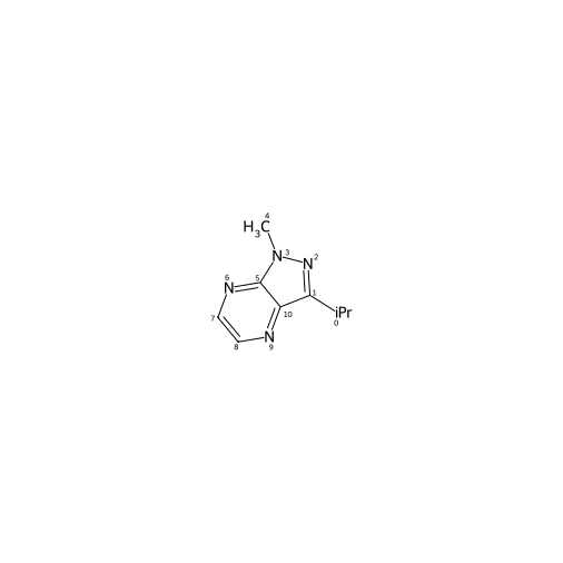 CC(C)c1nn(C)c2nccnc12